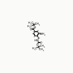 CC(C)(C)OC(=O)NCc1ccc(C(=O)OC(C)(C)C)cc1N